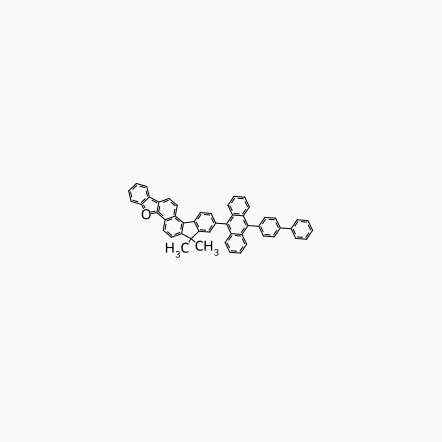 CC1(C)c2cc(-c3c4ccccc4c(-c4ccc(-c5ccccc5)cc4)c4ccccc34)ccc2-c2c1ccc1c2ccc2c3ccccc3oc12